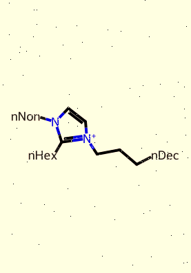 CCCCCCCCCCCCC[n+]1ccn(CCCCCCCCC)c1CCCCCC